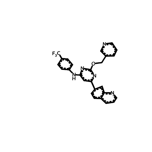 FC(F)(F)c1ccc(Nc2cc(-c3ccc4cccnc4c3)nc(OCc3cccnc3)n2)cc1